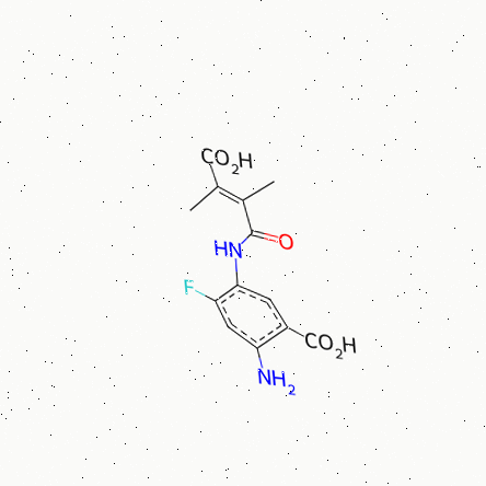 CC(C(=O)O)=C(C)C(=O)Nc1cc(C(=O)O)c(N)cc1F